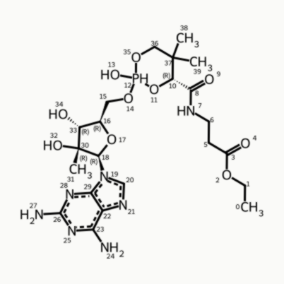 CCOC(=O)CCNC(=O)[C@@H]1O[PH](O)(OC[C@H]2O[C@@H](n3cnc4c(N)nc(N)nc43)[C@](C)(O)[C@@H]2O)OCC1(C)C